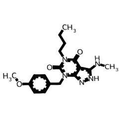 CCCCn1c(=O)c2c(NC)[nH]nc2n(Cc2ccc(OC)cc2)c1=O